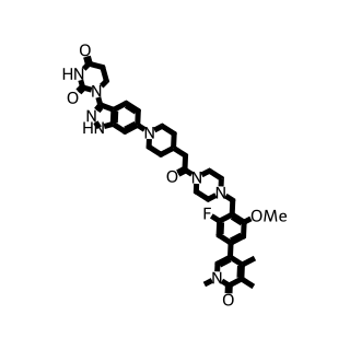 COc1cc(-c2cn(C)c(=O)c(C)c2C)cc(F)c1CN1CCN(C(=O)CC2CCN(c3ccc4c(N5CCC(=O)NC5=O)n[nH]c4c3)CC2)CC1